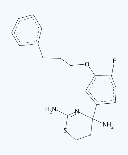 NC1=NC(N)(c2ccc(F)c(OCCCc3ccccc3)c2)CCS1